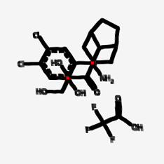 NC(c1cc(Cl)c(Cl)cc1O)C1C2CCC1CN(C(=O)C(O)CO)C2.O=C(O)C(F)(F)F